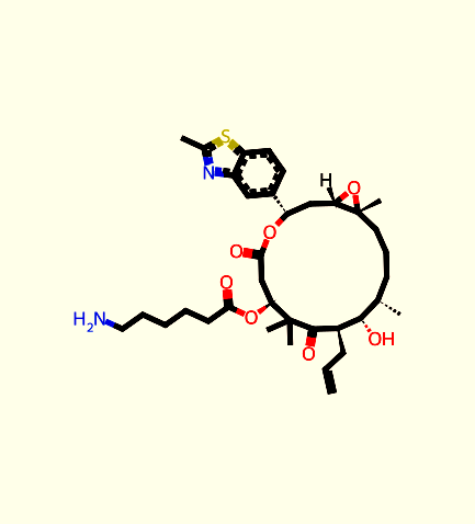 C=CC[C@H]1C(=O)C(C)(C)[C@@H](OC(=O)CCCCCN)CC(=O)O[C@H](c2ccc3sc(C)nc3c2)C[C@@H]2O[C@]2(C)CCC[C@H](C)[C@@H]1O